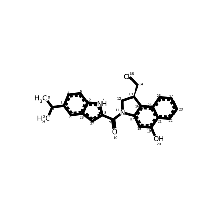 CC(C)c1ccc2[nH]c(C(=O)N3C[C@@H](CCl)c4c3cc(O)c3ccccc43)cc2c1